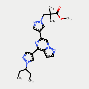 CCC(CC)n1cc(-c2nc(-c3cnn(CC(C)(C)C(=O)OC)c3)cn3nccc23)cn1